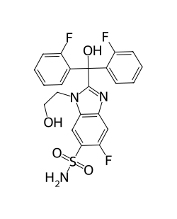 NS(=O)(=O)c1cc2c(cc1F)nc(C(O)(c1ccccc1F)c1ccccc1F)n2CCO